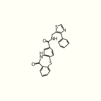 O=C(NCc1scnc1-c1ccccc1)c1ccc2c(c1)NC(=O)c1ccccc1S2